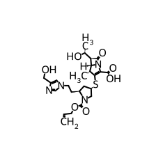 C=CCOC(=O)N1C[C@@H](SC2=C(C(=O)O)N3C(=O)[C@H]([C@@H](C)O)[C@H]3[C@H]2C)C[C@@H]1CCn1cnc(CO)c1